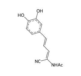 CC(=O)N/C(C#N)=C/C=C/c1ccc(O)c(O)c1